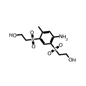 Cc1cc(N)c(S(=O)(=O)CCO)cc1S(=O)(=O)CCO